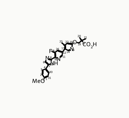 COc1ccc(-c2cnc(-c3ncc(-c4cnc(OCC(C)(C)C(=O)O)cc4C)cc3F)[nH]2)cc1